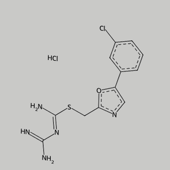 Cl.N=C(N)N=C(N)SCc1ncc(-c2cccc(Cl)c2)o1